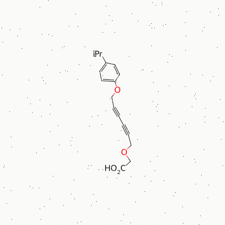 CC(C)c1ccc(OCC#CC#CCOCC(=O)O)cc1